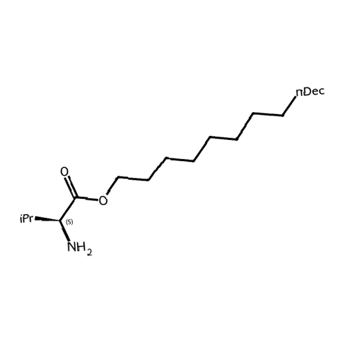 CCCCCCCCCCCCCCCCCCOC(=O)[C@@H](N)C(C)C